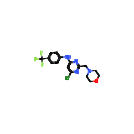 FC(F)(F)c1ccc(Nc2cc(Cl)nc(CN3CCOCC3)n2)cc1